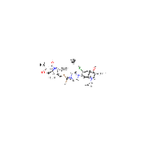 C[C@@H](O)[C@@H]1C(=O)N2C(C(=O)[O-])=C(CSC(=S)N3CCN(c4cc5c(cc4F)c(=O)c(C(=O)[O-])cn5C4CC4)CC3)[C@H](C)[C@H]12.[Na+].[Na+]